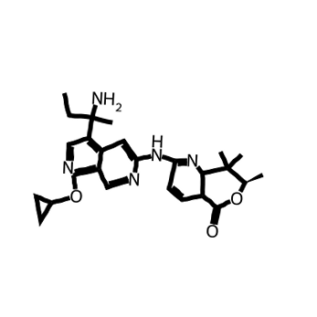 CCC(C)(N)c1cnc(OC2CC2)c2cnc(NC3=NC4C(C=C3)C(=O)O[C@H](C)C4(C)C)cc12